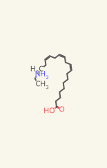 CC/C=C\C/C=C\C/C=C\CCCCCCCC(=O)O.CCN